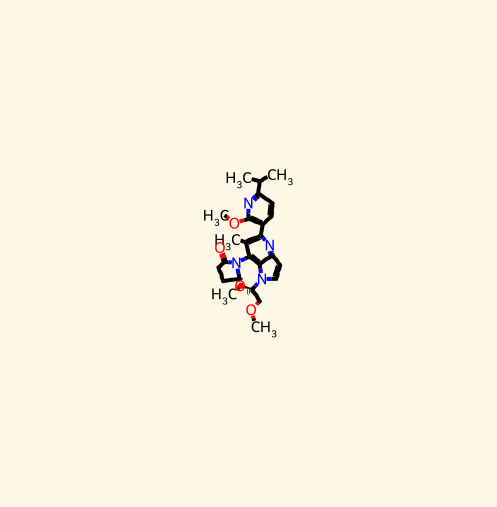 CC[C@H](COC)n1ccc2nc(-c3ccc(C(C)C)nc3OC)c(C)c(N3C(=O)CCC3=O)c21